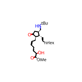 CCCCCC/C=C/[C@H]1[C@H](CNC(C)(C)C)CC(=O)[C@@H]1C/C=C\CCC(O)C(=O)OC